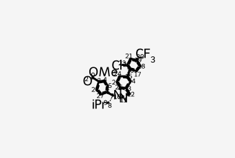 COC(=O)c1ccc([C@@H](CC(C)C)n2ncc3cc(-c4ccc(C(F)(F)F)cc4Cl)ccc32)cc1